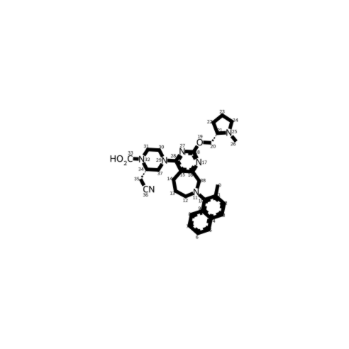 Cc1ccc2ccccc2c1N1CCCc2c(nc(OC[C@@H]3CCCN3C)nc2N2CCN(C(=O)O)[C@@H](CC#N)C2)C1